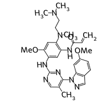 C=CC(=O)Nc1cc(Nc2ncc(C)c(-n3ncc4ccc(OC)cc43)n2)c(OC)cc1N(C)CCN(C)C